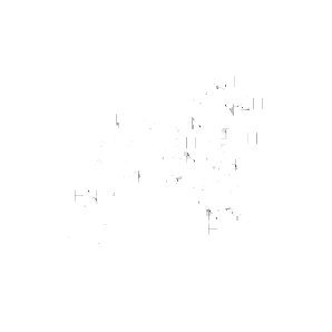 C[C@@H]1CN(c2ccc(-c3c(F)ccc(CNC4CCCCC4)c3F)cc2NC(=O)c2c[nH]c(=O)cc2C(F)(F)F)C[C@H](C)N1C